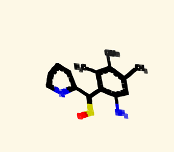 COc1c(C)cc(N)c(C(=S=O)c2ccccn2)c1C